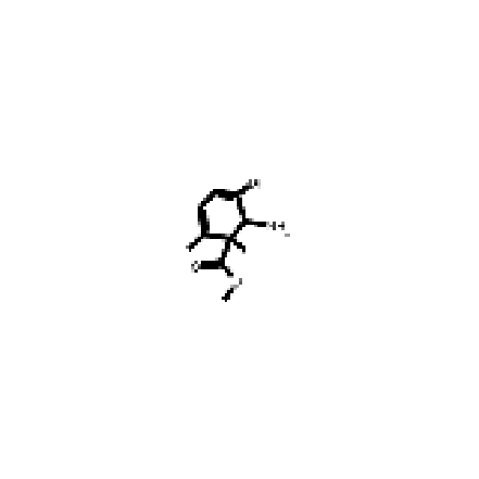 COC(=O)C1(C)C(C)=CC=C(Br)C1N